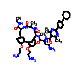 Cc1nc(-c2ccc(C3CCCCCC3)cc2)nc(C)c1C(=O)NC(CCN)C(=O)N(C)C1C(=O)NC(C)C(=O)NC(C(=O)NCC#N)Cc2ccc(OCCN)c(c2)-c2cc1ccc2OCCN